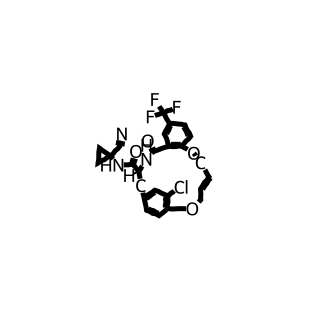 N#CC1(NC(=O)[C@@H]2Cc3ccc(c(Cl)c3)OC/C=C/COc3ccc(C(F)(F)F)cc3C(=O)N2)CC1